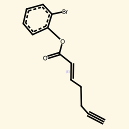 C#CCC/C=C/C(=O)Oc1ccccc1Br